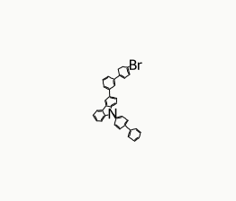 BrC1=CC=C(c2cccc(-c3ccc4c(c3)c3ccccc3n4-c3ccc(-c4ccccc4)cc3)c2)CC1